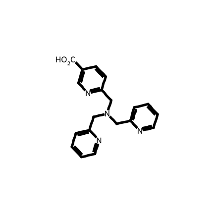 O=C(O)c1ccc(CN(Cc2ccccn2)Cc2ccccn2)nc1